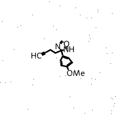 C#CCCC1(c2ccc(OC)cc2)N=CON1